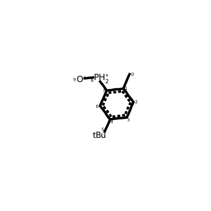 Cc1ccc(C(C)(C)C)cc1[PH2+][O-]